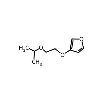 CC(C)OCCOc1ccoc1